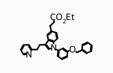 CCOC(=O)CCc1ccc2c(c1)c(CCc1ccccn1)cn2-c1cccc(OCc2ccccc2)c1